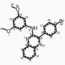 COc1cc(Nc2nc3ccccc3nc2-c2ccc(Br)cc2)cc(OC)c1